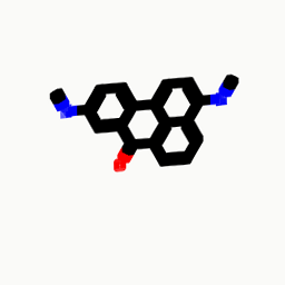 C=Nc1ccc2c(c1)C(=O)c1cccc3c(N=C)ccc-2c13